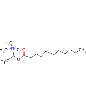 CCCCCCCCCCC(=O)OC(C)[N+](C)(C)C